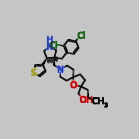 CCCC1(CO)CCC2(CCN(C[C@]3(Cc4ccc(Cl)cc4Cl)CNC[C@@H]3c3ccsc3)CC2)O1